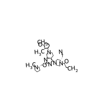 C=CC(=O)N1CCN(c2nc(OC[C@@H]3CCCN3C)nc3c2CCN(c2cccc(OC)c2C)C3)C[C@@H]1CC#N